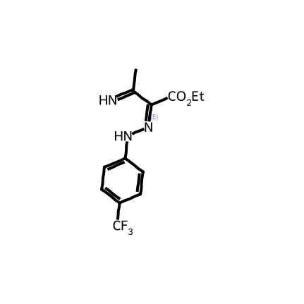 CCOC(=O)/C(=N/Nc1ccc(C(F)(F)F)cc1)C(C)=N